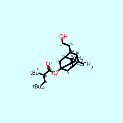 C=C1C2CC3(OC(=O)C(CC(C)(C)C)C(C)(C)C)CC1C(CCO)C(C3)C2C